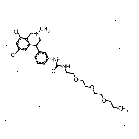 CCCOCCOCCOCCNC(=O)Nc1cccc(C2CN(C)Cc3c(Cl)cc(Cl)cc32)c1